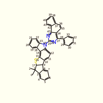 CC1(C)c2ccccc2C2c3ccc4c(c3SC21)c1ccccc1n4-c1nc(-c2ccccc2)c2ccc3ccccc3c2n1